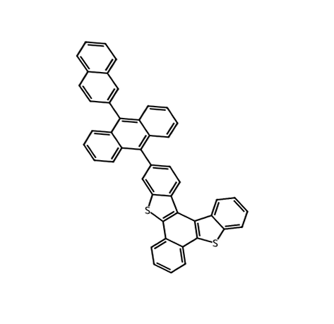 c1ccc2cc(-c3c4ccccc4c(-c4ccc5c(c4)sc4c6ccccc6c6sc7ccccc7c6c54)c4ccccc34)ccc2c1